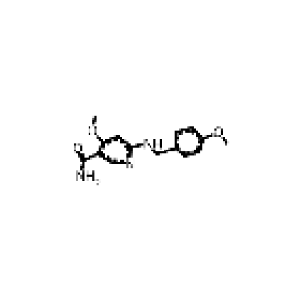 COc1ccc(CNc2cc(OC)c(C(N)=O)cn2)cc1